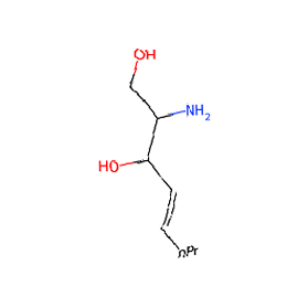 CCC/C=C/C(O)C(N)CO